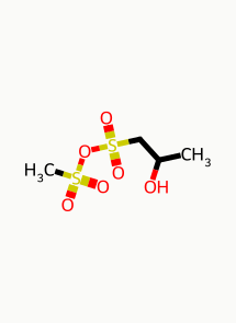 CC(O)CS(=O)(=O)OS(C)(=O)=O